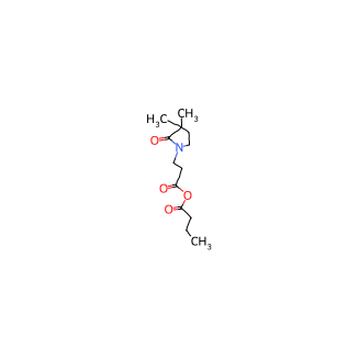 CCCC(=O)OC(=O)CCN1CCC(C)(C)C1=O